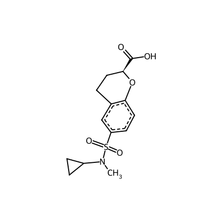 CN(C1CC1)S(=O)(=O)c1ccc2c(c1)CC[C@@H](C(=O)O)O2